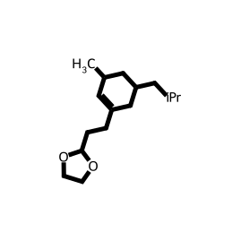 CC(C)CC1CC(CCC2OCCO2)=CC(C)C1